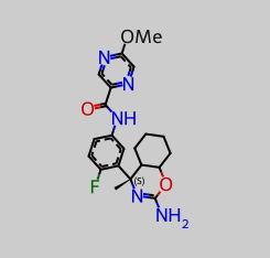 COc1cnc(C(=O)Nc2ccc(F)c([C@@]3(C)N=C(N)OC4CCCCC43)c2)cn1